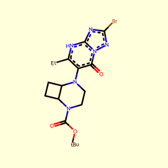 CCc1[nH]c2nc(Br)nn2c(=O)c1N1CCN(C(=O)OC(C)(C)C)C2CCC21